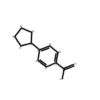 C=C(C)c1ccc(C2CCCC2)cc1